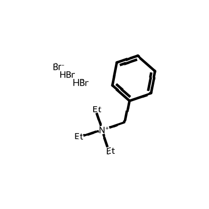 Br.Br.CC[N+](CC)(CC)Cc1ccccc1.[Br-]